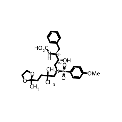 COc1ccc(S(=O)(=O)N(C[C@H](O)[C@H](Cc2ccccc2)NC(=O)O)CC(C)(C)CCC2(C)OCCO2)cc1